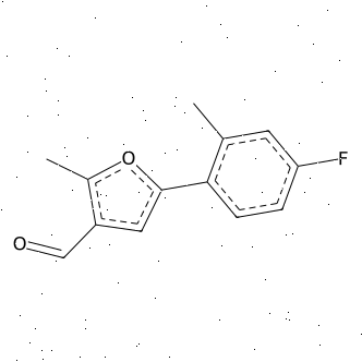 Cc1cc(F)ccc1-c1cc(C=O)c(C)o1